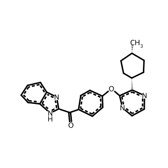 C[C@H]1CC[C@@H](c2nccnc2Oc2ccc(C(=O)c3nc4ccccc4[nH]3)cc2)CC1